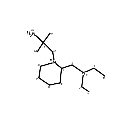 CCN(CC)CC1CCCCN1CC(C)(C)N